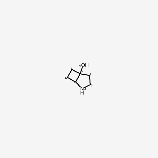 OC12CCNC1CC2